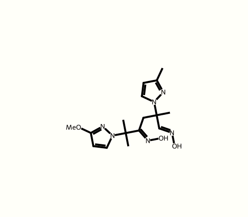 COc1ccn(C(C)(C)C(CC(C)(C=NO)n2ccc(C)n2)=NO)n1